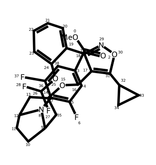 COC(=O)c1cc(F)c(N2C3CCC2CC(OCc2c(-c4ccccc4OC(F)F)noc2C2CC2)C3)c(F)c1